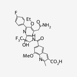 CCOc1c(CC(N)=O)cc([C@@](O)(CNC(=O)c2cc(OC)c3nc(C)c(C(=O)O)cc3c2)C(F)(F)F)nc1-c1ccc(F)cc1